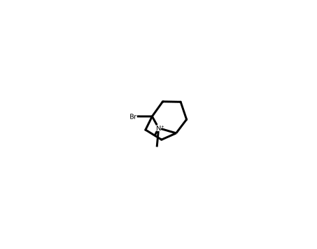 C[N+]1(C)C2CCCC1(Br)CC2